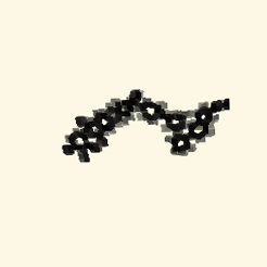 O=C1CCC(N2C(=O)c3cc4c(cc3C2=O)CC2(C4)CN(C(=O)C3CCN(c4ccc([C@@H]5c6ccc(O)cc6CC[C@@H]5c5ccccc5)cc4)CC3)C2)C(=O)N1